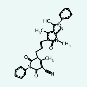 CC1=C(C#N)C(=O)N(c2ccccc2)C(=O)C1CC=Cc1c(C)c2c(O)n(-c3ccccc3)nc2n(C)c1=O